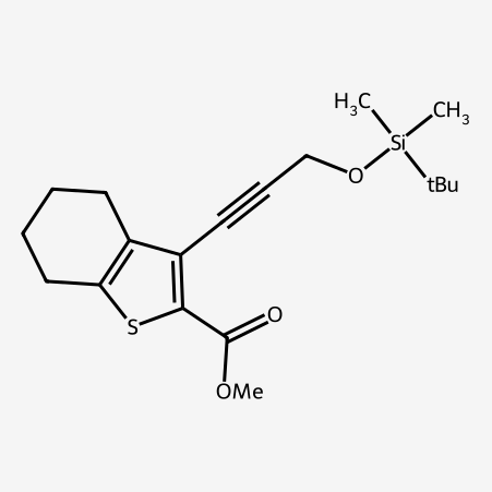 COC(=O)c1sc2c(c1C#CCO[Si](C)(C)C(C)(C)C)CCCC2